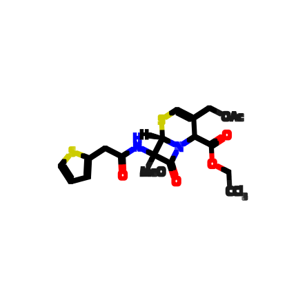 COC1(NC(=O)Cc2cccs2)C(=O)N2C(C(=O)OCC(Cl)(Cl)Cl)C(COC(C)=O)=CS[C@H]21